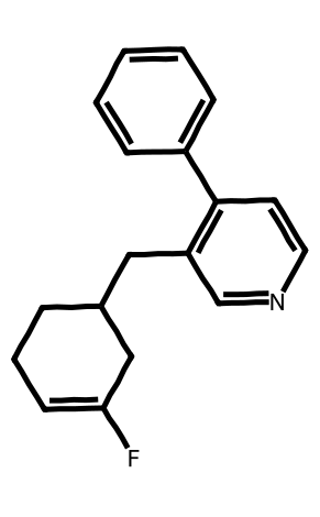 FC1=CCCC(Cc2cnccc2-c2ccccc2)C1